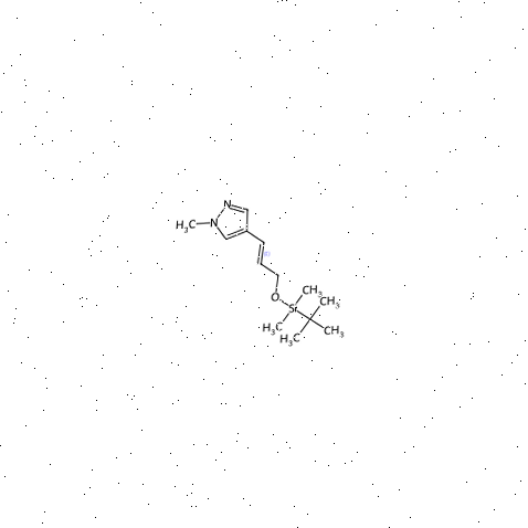 Cn1cc(/C=C/CO[Si](C)(C)C(C)(C)C)cn1